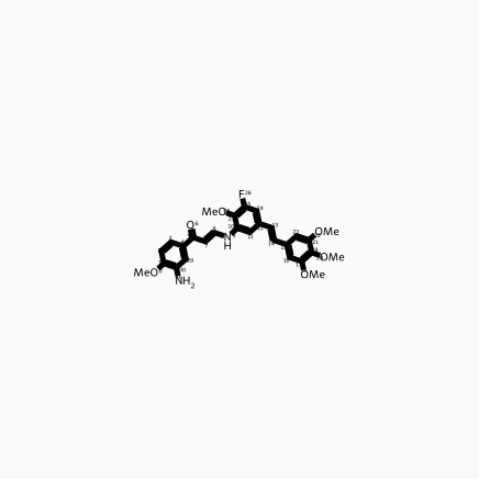 COc1ccc(C(=O)C=CNc2cc(C=Cc3cc(OC)c(OC)c(OC)c3)cc(F)c2OC)cc1N